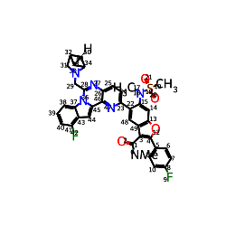 CNC(=O)c1c(-c2ccc(F)cc2)oc2cc(N(C)S(C)(=O)=O)c(-c3ccc4nc(CN5CC6C7C5[C@H]67)n5c6cccc(F)c6cc5c4n3)cc12